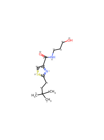 CC(C)(C)CCc1nc(C(=O)NCCCO)cs1